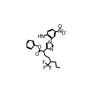 CCCC(CCC(C(=O)Oc1ccccc1)c1cn(-c2cc([N+](=O)[O-])ccc2NC)cn1)C(F)(F)F